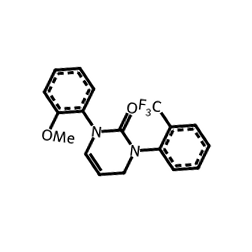 COc1ccccc1N1C=CCN(c2ccccc2C(F)(F)F)C1=O